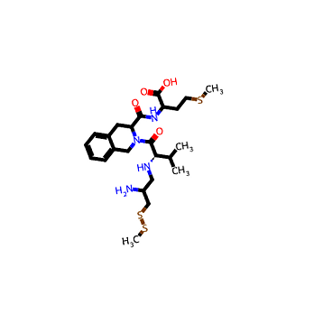 CSCCC(NC(=O)C1Cc2ccccc2CN1C(=O)[C@@H](NCC(N)CSSC)C(C)C)C(=O)O